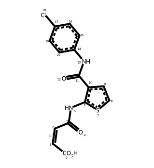 O=C(O)/C=C\C(=O)Nc1sccc1C(=O)Nc1ccc(Cl)cc1